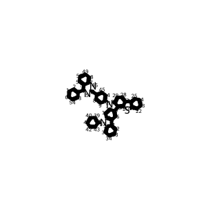 c1ccc(-c2nc(-c3ccc(-n4c5cc6c(cc5c5c7sc8ccccc8c7ccc54)c4ccccc4n6-c4ccccc4)cc3)nc3ccccc23)cc1